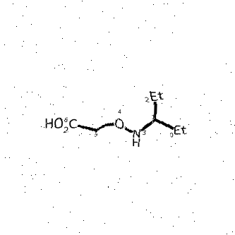 CCC(CC)NOCC(=O)O